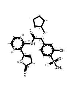 CS(=O)(=O)c1ccc([C@@H](CC2CCCC2)C(=O)Nc2nccnc2C2=CCC(=O)O2)cc1Cl